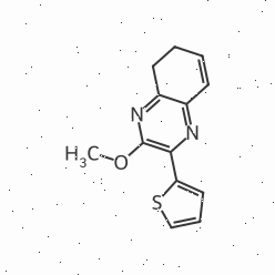 COc1nc2c(nc1-c1cccs1)C=CCC2